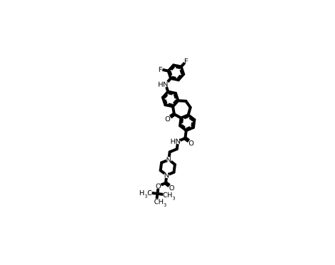 CC(C)(C)OC(=O)N1CCN(CCNC(=O)c2ccc3c(c2)C(=O)c2ccc(Nc4ccc(F)cc4F)cc2CC3)CC1